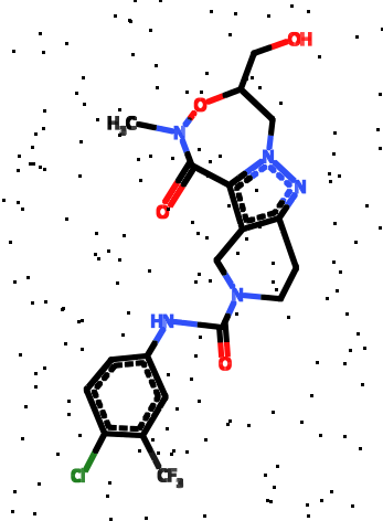 CN1OC(CO)Cn2nc3c(c2C1=O)CN(C(=O)Nc1ccc(Cl)c(C(F)(F)F)c1)CC3